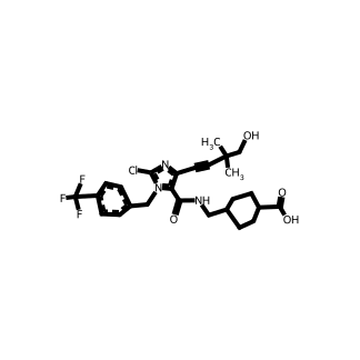 CC(C)(C#Cc1nc(Cl)n(Cc2ccc(C(F)(F)F)cc2)c1C(=O)NCC1CCC(C(=O)O)CC1)CO